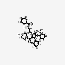 COc1ccccc1-n1c(-c2ccccc2)c(C(=O)N2CCNCC2)n(CCNC(=O)c2ccccc2)c1=O